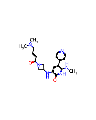 CNc1[nH]c(=O)c(NC2CN(C(=O)/C=C/CN(C)C)C2)cc1-c1ccncc1